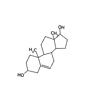 CC12CCC(O)CC1=CCC1C2CCC2(C)C(O)CCC12